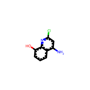 Nc1cc(Cl)nc2c(O)cccc12